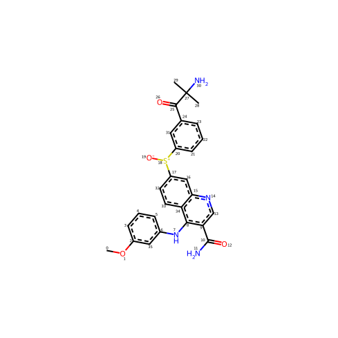 COc1cccc(Nc2c(C(N)=O)cnc3cc([S+]([O-])c4cccc(C(=O)C(C)(C)N)c4)ccc23)c1